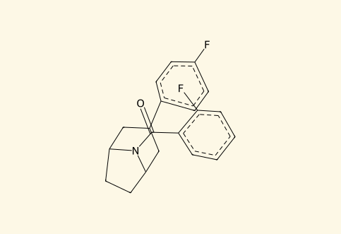 O=C(c1ccccc1F)N1C2CCC1CC(c1ccc(F)cc1)C2